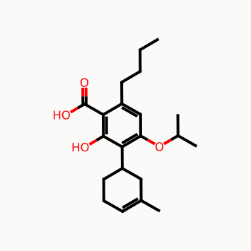 CCCCc1cc(OC(C)C)c(C2CCC=C(C)C2)c(O)c1C(=O)O